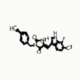 C#Cc1ccc(CN2C(=O)NC(=Cc3c[nH]c4c(F)c(Cl)ccc34)C2=O)cc1